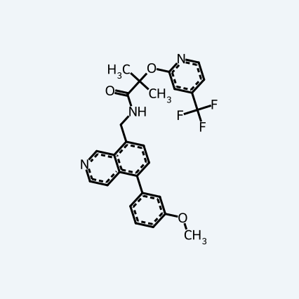 COc1cccc(-c2ccc(CNC(=O)C(C)(C)Oc3cc(C(F)(F)F)ccn3)c3cnccc23)c1